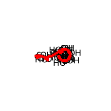 CC1(C)C(=O)C(CC#CCCCC(=O)OCCOC2C3OC(CO)C(OC4OC(CO)C(OC5OC(CO)C(OC6OC(CO)C(OC7OC(CO)C(OC8OC(CO)C(O3)C(O)C8O)C(O)C7O)C(O)C6O)C(O)C5O)C(O)C4O)C2O)C(CCC(O)CCc2sc3ccccc3c2Cl)C1O